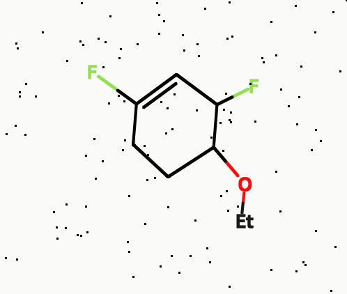 CCOC1CCC(F)=CC1F